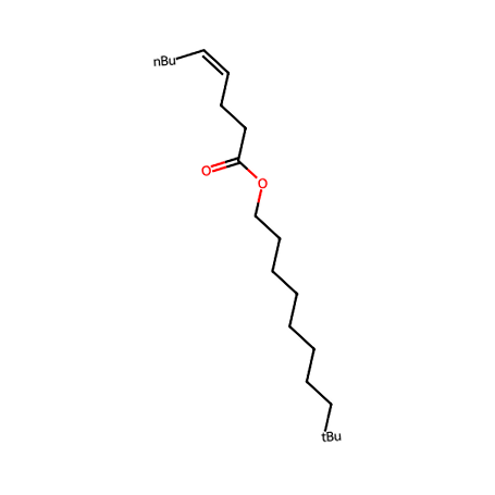 CCCC/C=C\CCC(=O)OCCCCCCCCC(C)(C)C